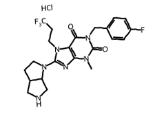 Cl.Cn1c(=O)n(Cc2ccc(F)cc2)c(=O)c2c1nc(N1CCC3CNCC31)n2CCC(F)(F)F